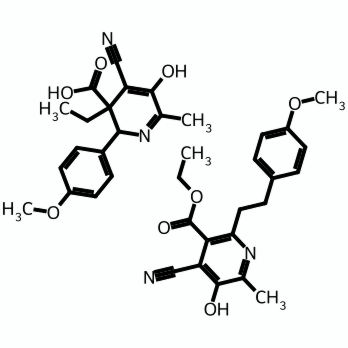 CCC1(C(=O)O)C(C#N)=C(O)C(C)=NC1c1ccc(OC)cc1.CCOC(=O)c1c(CCc2ccc(OC)cc2)nc(C)c(O)c1C#N